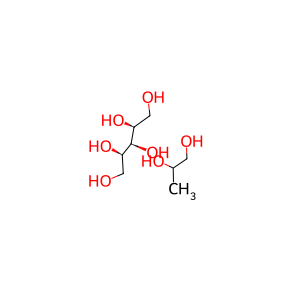 CC(O)CO.OC[C@@H](O)[C@H](O)[C@@H](O)CO